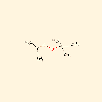 CC(C)SOC(C)(C)C